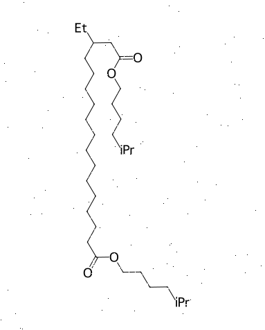 CCC(CCCCCCCCCCCCCC(=O)OCCCCC(C)C)CC(=O)OCCCCC(C)C